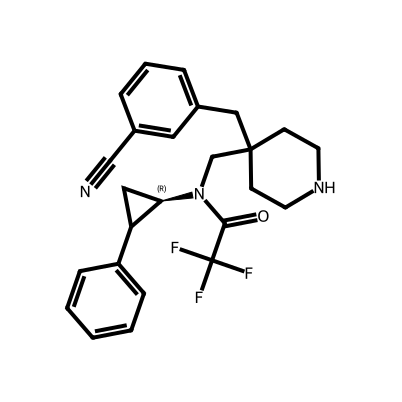 N#Cc1cccc(CC2(CN(C(=O)C(F)(F)F)[C@@H]3CC3c3ccccc3)CCNCC2)c1